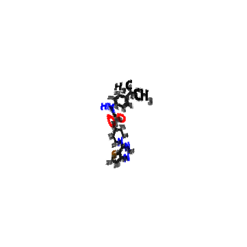 CC(C)c1ccc(NC(=O)OC2CCN(c3ncnc4ccsc34)CC2)cc1